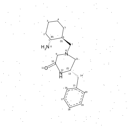 N[C@@H]1CCCC[C@H]1CN1CC(=O)N[C@@H](Cc2ccccc2)C1